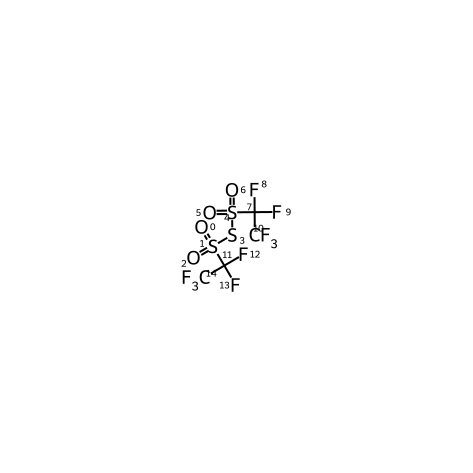 O=S(=O)(SS(=O)(=O)C(F)(F)C(F)(F)F)C(F)(F)C(F)(F)F